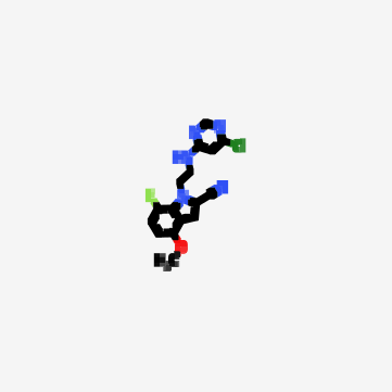 COc1ccc(F)c2c1cc(C#N)n2CCNc1cc(Cl)ncn1